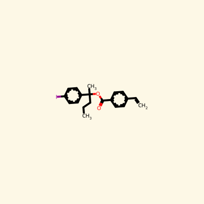 C=Cc1ccc(C(=O)OC(C)(CCC)c2ccc(I)cc2)cc1